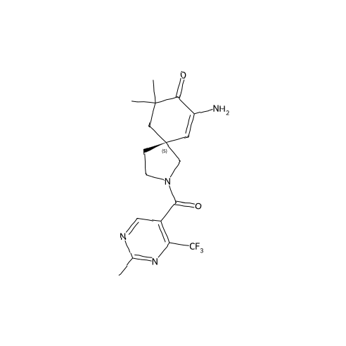 Cc1ncc(C(=O)N2CC[C@@]3(C=C(N)C(=O)C(C)(C)C3)C2)c(C(F)(F)F)n1